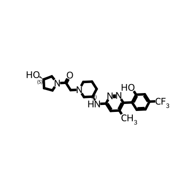 Cc1cc(N[C@@H]2CCCN(CC(=O)N3CC[C@H](O)C3)C2)nnc1-c1ccc(C(F)(F)F)cc1O